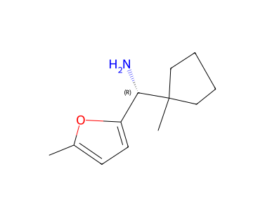 Cc1ccc([C@H](N)C2(C)CCCC2)o1